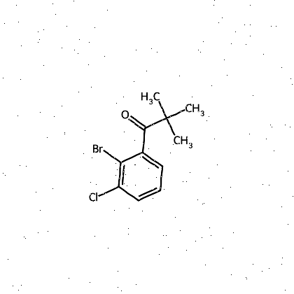 CC(C)(C)C(=O)c1cccc(Cl)c1Br